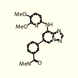 CNC(=O)c1cccc(-c2cc(Nc3ccc(OC)c(OC)n3)c3ncnn3c2)c1